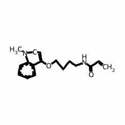 C=CC(=O)NCCCCOC1=CCN(C)c2ccccc21